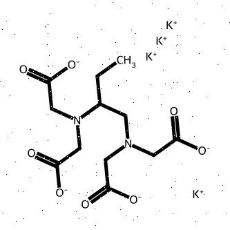 CCC(CN(CC(=O)[O-])CC(=O)[O-])N(CC(=O)[O-])CC(=O)[O-].[K+].[K+].[K+].[K+]